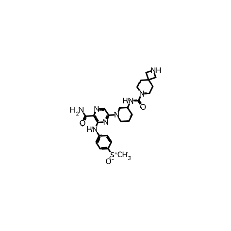 C[S+]([O-])c1ccc(Nc2nc(N3CCCC(NC(=O)N4CCC5(CC4)CNC5)C3)cnc2C(N)=O)cc1